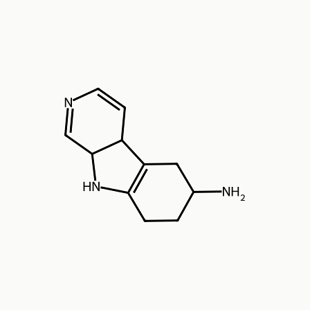 NC1CCC2=C(C1)C1C=CN=CC1N2